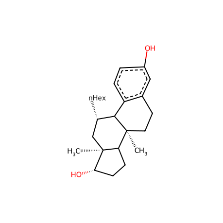 CCCCCC[C@H]1C[C@@]2(C)C(CC[C@@H]2O)[C@]2(C)CCc3cc(O)ccc3C12